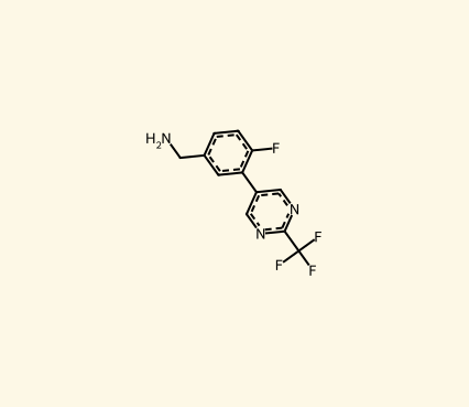 NCc1ccc(F)c(-c2cnc(C(F)(F)F)nc2)c1